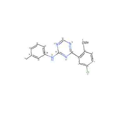 COc1ccc(Cl)cc1-c1ncnc(Nc2cccc(C)c2)n1